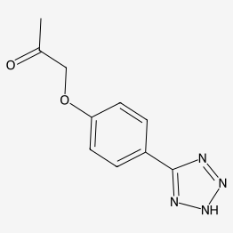 CC(=O)COc1ccc(-c2nn[nH]n2)cc1